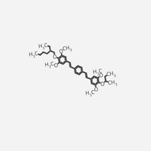 CCCCC(CC)COc1c(OC)cc(/C=C/c2ccc(/C=C/c3cc(OC)c(OC(C)CC)c(OC)c3)cc2)cc1OC